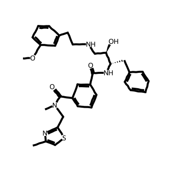 COc1cccc(CCNC[C@@H](O)[C@H](Cc2ccccc2)NC(=O)c2cccc(C(=O)N(C)Cc3nc(C)cs3)c2)c1